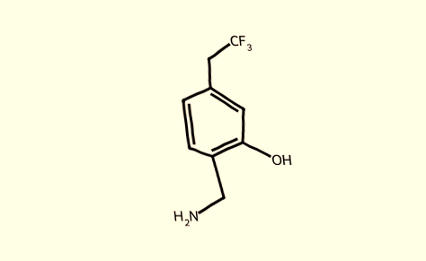 NCc1ccc(CC(F)(F)F)cc1O